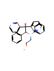 COCCN(c1ccccc1C)C(c1ccccc1)C(O)(c1cccnc1)c1cccnc1